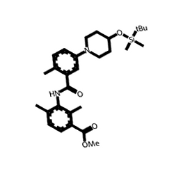 COC(=O)c1ccc(C)c(NC(=O)c2cc(N3CCC(O[Si](C)(C)C(C)(C)C)CC3)ccc2C)c1C